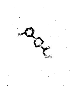 COCC(=O)N1CCN(c2cccc(C(C)C)c2)CC1